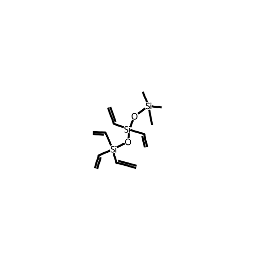 C=C[Si](C=C)(C=C)O[Si](C=C)(C=C)O[Si](C)(C)C